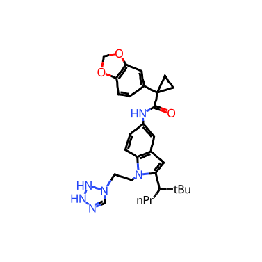 CCCC(c1cc2cc(NC(=O)C3(c4ccc5c(c4)OCO5)CC3)ccc2n1CCN1C=NNN1)C(C)(C)C